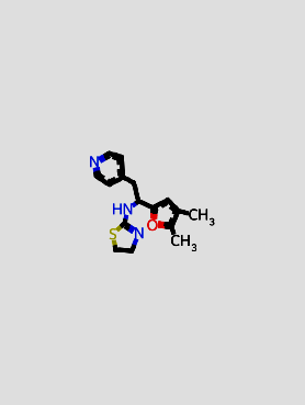 Cc1cc(C(Cc2ccncc2)NC2=NCCS2)oc1C